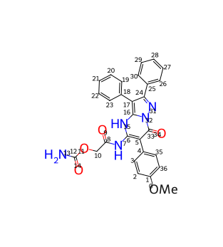 COc1ccc(-c2c(NC(=O)COC(N)=O)[nH]c3c(-c4ccccc4)c(-c4ccccc4)nn3c2=O)cc1